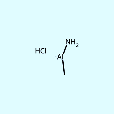 Cl.[CH3][Al][NH2]